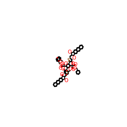 O=C1C(=Cc2cc3c(s2)-c2cc4c(cc2C(C(=O)OCc2ccccc2)(C(=O)OCc2ccccc2)O3)-c2sc(C=C3C(=O)c5cc6cc7ccccc7cc6cc5C3=O)cc2OC4(C(=O)OCc2ccccc2)C(=O)OCc2ccccc2)C(=O)c2cc3cc4ccccc4cc3cc21